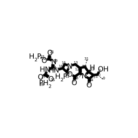 C[C@@H](O)C1C(=O)N2C(C(=O)OP)=C(CN3CC(NC(=NC(=O)OP)NC(=O)OP)C3)[C@H](C)[C@H]12